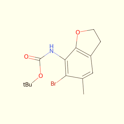 Cc1cc2c(c(NC(=O)OC(C)(C)C)c1Br)OCC2